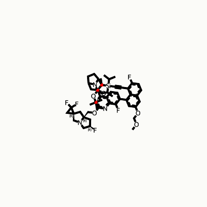 COCOc1cc(-c2ccc3c(N4CC5CCC(C4)N5C(=O)OC(C)(C)C)nc(OC[C@@]45C[C@@H](F)CN4C[C@]4(CC4(F)F)C5)nc3c2F)c2c(C#C[Si](C(C)C)(C(C)C)C(C)C)c(F)ccc2c1